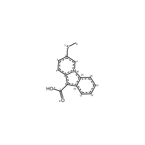 CSc1ccc2c(C(=O)O)c3ccccc3n2c1